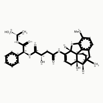 COc1ccc2c3c1O[C@H]1C(OC(=O)C[C@H](O)C(=O)O[C@H](C(=O)O[C@@H](C)C(=O)O)c4ccccc4)=CC[C@@]4(O)[C@@H](C2)C(C)CC[C@]314